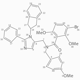 COc1ccc(CN(Cc2cnc(-c3ccccc3)n2C2Cc3ccccc3C2)C(=O)c2c(OC)ccc(Br)c2OC)cc1